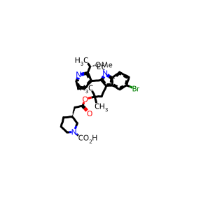 CCn1c(-c2cccnc2[C@H](C)OC)c(CC(C)(C)OC(=O)C[C@@H]2CCCN(C(=O)O)C2)c2cc(Br)ccc21